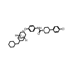 O=C(Nc1ccc(O[C@H]2C[C@H]3CC(CC4CCCCC4)C[C@@H](C2)N3)cc1)N1CCC(c2ccc(Cl)cc2)CC1